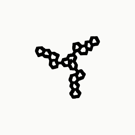 C1=C(c2cccc3c2ccc2cc4ccccc4cc23)C=C2C=C(c3cccc4c3ccc3cc5ccccc5cc34)C=C3C=C(c4cccc5c4ccc4cc6ccccc6cc45)C=C1N23